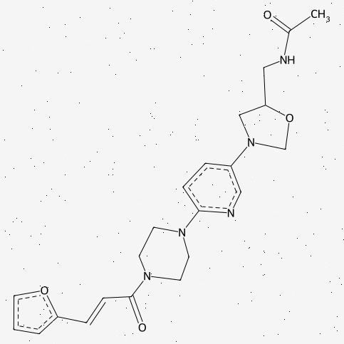 CC(=O)NCC1CN(c2ccc(N3CCN(C(=O)C=Cc4ccco4)CC3)nc2)CO1